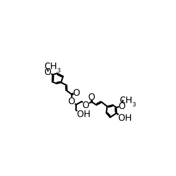 COc1ccc(/C=C/C(=O)OC(CO)COC(=O)/C=C/c2ccc(O)c(OC)c2)cc1